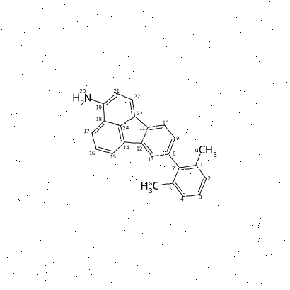 Cc1cccc(C)c1-c1ccc2c(c1)-c1cccc3c(N)ccc-2c13